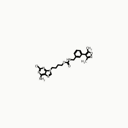 Cc1noc(C)c1-c1cccc(CNC(=O)OCCCCn2cnc3c(N)nc(Cl)nc32)c1